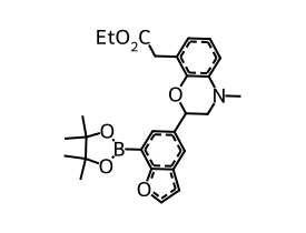 CCOC(=O)Cc1cccc2c1OC(c1cc(B3OC(C)(C)C(C)(C)O3)c3occc3c1)CN2C